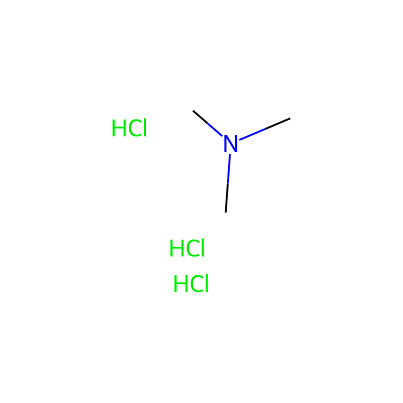 CN(C)C.Cl.Cl.Cl